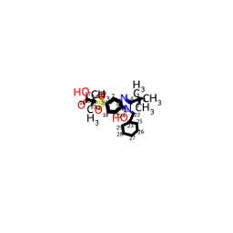 CC(C)(C)c1nc2cc(S(=O)(=O)C(C)(C)C(=O)O)ccc2n1CC1(O)CCCCC1